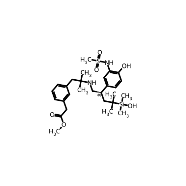 COC(=O)Cc1cccc(CC(C)(C)NC[C@H](CC(C)(C)[Si](C)(C)O)c2ccc(O)c(NS(C)(=O)=O)c2)c1